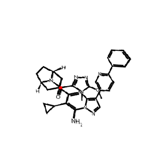 COc1nnc(C(=O)N2[C@@H]3CC[C@H]2CC(c2nc4c(-c5ccc(-c6ccccc6)nc5)cnn4c(N)c2C2CC2)C3)n1C